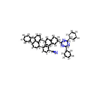 N#Cc1ccc(-c2ccc3c4c(ccc(-c5ccc6cc(-c7nc(-c8ccccc8)nc(C8C=CC=CC8)n7)ccc6c5)c24)-c2ccccc2-3)cc1